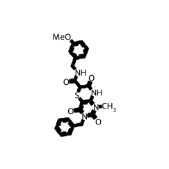 COc1cccc(CNC(=O)C2Sc3c(n(C)c(=O)n(Cc4ccccc4)c3=O)NC2=O)c1